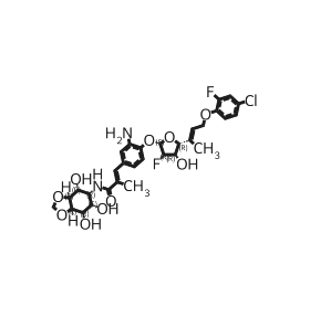 CC(=Cc1ccc(O[C@@H]2O[C@H](C(C)=CCOc3ccc(Cl)cc3F)[C@@H](O)[C@H]2F)c(N)c1)C(=O)N[C@@H]1[C@H](O)[C@@H](O)[C@H]2OCO[C@H]2[C@@H]1O